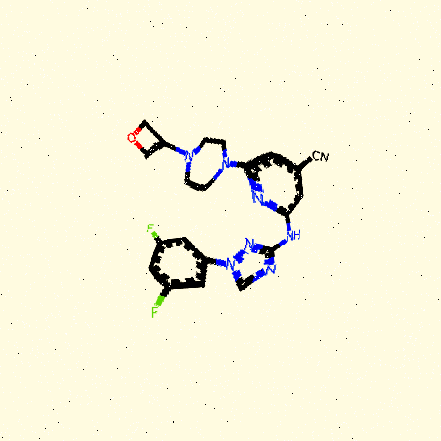 N#Cc1cc(Nc2ncn(-c3cc(F)cc(F)c3)n2)nc(N2CCN(C3COC3)CC2)c1